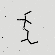 CCC(C)COC(C)(C)CC